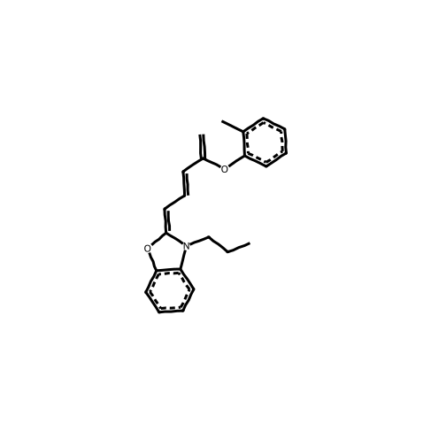 C=C(C=CC=C1Oc2ccccc2N1CCC)Oc1ccccc1C